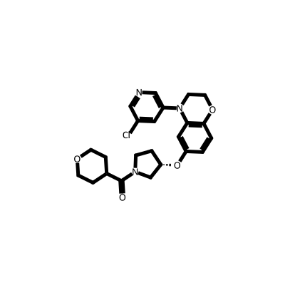 O=C(C1CCOCC1)N1CC[C@H](Oc2ccc3c(c2)N(c2cncc(Cl)c2)CCO3)C1